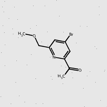 COCc1cc(Br)cc(C(C)=O)n1